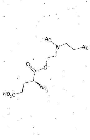 CC(=O)CCN(CCOC(=O)[C@@H](N)CCC(=O)O)C(C)=O